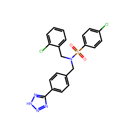 O=S(=O)(c1ccc(Cl)cc1)N(Cc1ccc(-c2nn[nH]n2)cc1)Cc1ccccc1Cl